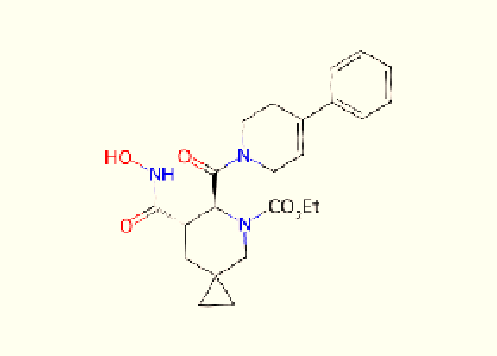 CCOC(=O)N1CC2(CC2)C[C@H](C(=O)NO)[C@H]1C(=O)N1CC=C(c2ccccc2)CC1